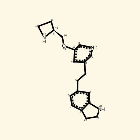 c1cc2c(cc1CCc1cncc(OC[C@@H]3CCN3)c1)NCC2